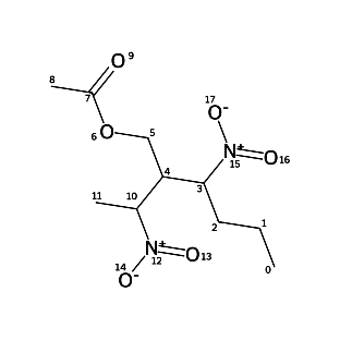 CCCC(C(COC(C)=O)C(C)[N+](=O)[O-])[N+](=O)[O-]